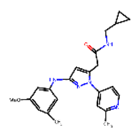 COc1cc(Nc2cc(CC(=O)NCC3CC3)n(-c3ccnc(C)c3)n2)cc(C(F)(F)F)c1